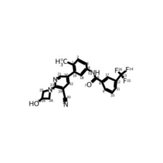 Cc1ccc(NC(=O)c2cccc(C(F)(F)F)c2)cc1-c1cnc(N2CC(O)C2)c(C#N)c1